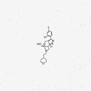 Cl.Fc1ccc(-c2nnn3c2CO[C@H]2CN(CCC4CCOCC4)C[C@@H]23)c(Cl)c1